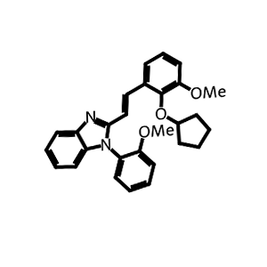 COc1ccccc1-n1c(C=Cc2cccc(OC)c2OC2CCCC2)nc2ccccc21